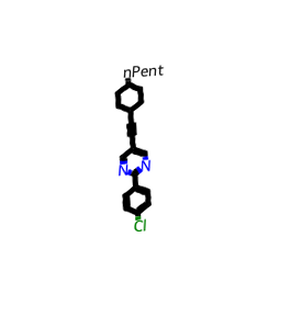 CCCCCC1CCC(C#Cc2cnc(-c3ccc(Cl)cc3)nc2)CC1